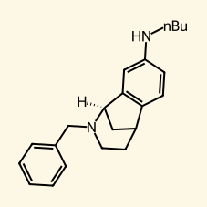 CCCCNc1ccc2c(c1)[C@H]1CC2CCN1Cc1ccccc1